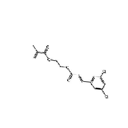 C=C(C)C(=O)OCCOC(=O)/C=C/c1cc(Cl)cc(Cl)c1